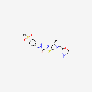 CCS(=O)(=O)c1ccc(CNC(=O)c2nc3c(s2)CN(CC2CNCCO2)[C@H]3C(C)C)cc1